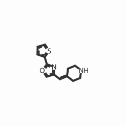 C(=C1CCNCC1)c1coc(-c2cccs2)n1